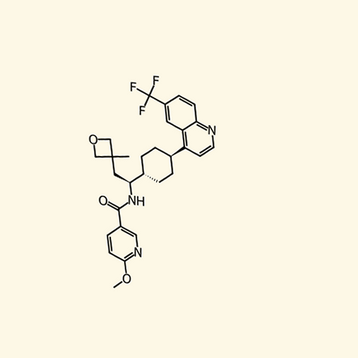 COc1ccc(C(=O)N[C@@H](CC2(C)COC2)[C@H]2CC[C@H](c3ccnc4ccc(C(F)(F)F)cc43)CC2)cn1